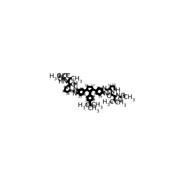 COC(=O)N[C@H](C(=O)N1CCC[C@H]1c1nc2cc(C3=C(c4ccc(C(C)(C)C)cc4)C(c4ccc5nc([C@@H]6CCCN6C(=O)[C@@H](NC(=O)OC)C(C)C)[nH]c5c4)CC3)ccc2[nH]1)C(C)C